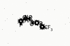 O=C(NCC(=O)N1CCC(Oc2cccc(C(F)(F)F)c2)CC1)c1cc(-c2cccc(F)c2)on1